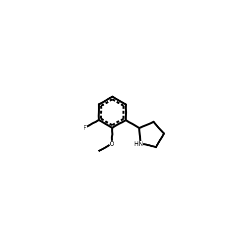 COc1c(F)cccc1C1CCCN1